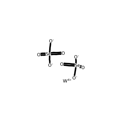 O=[Se](=O)([O-])[O-].O=[Se](=O)([O-])[O-].[W+4]